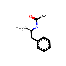 CC(=O)C(=O)N[C@@H](Cc1ccccc1)C(=O)O